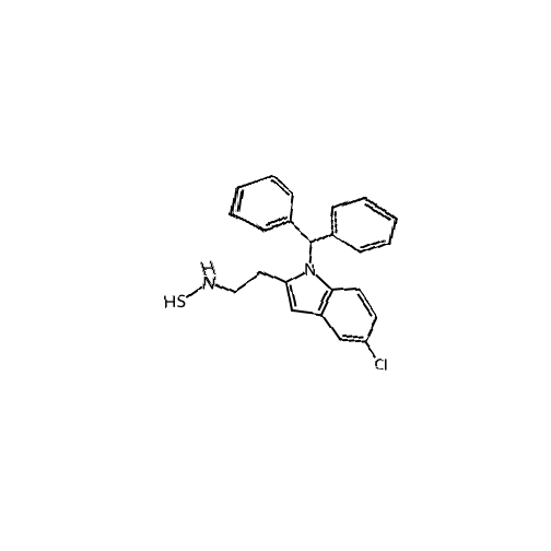 SNCCc1cc2cc(Cl)ccc2n1C(c1ccccc1)c1ccccc1